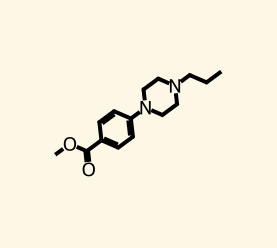 CCCN1CCN(c2ccc(C(=O)OC)cc2)CC1